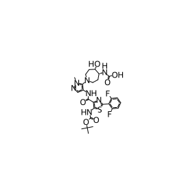 Cn1ncc(NC(=O)c2nc(-c3c(F)cccc3F)sc2NC(=O)OC(C)(C)C)c1N1CC[C@@H](O)[C@@H](NC(=O)O)CC1